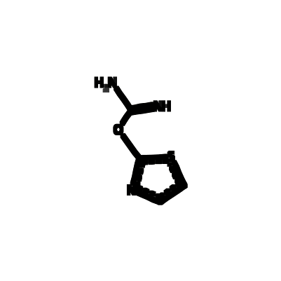 N=C(N)Oc1nccs1